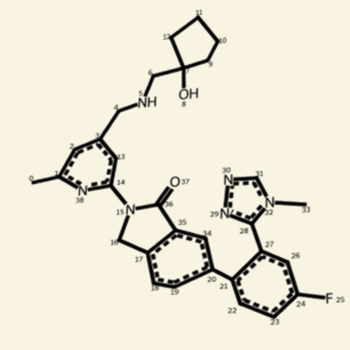 Cc1cc(CNCC2(O)CCCC2)cc(N2Cc3ccc(-c4ccc(F)cc4-c4nncn4C)cc3C2=O)n1